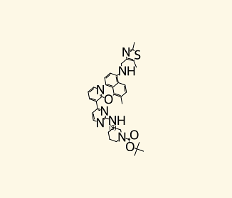 Cc1nc(CNc2cccc3c(Oc4ncccc4-c4ccnc(N[C@H]5CCCN(C(=O)OC(C)(C)C)C5)n4)c(C)ccc23)c(C)s1